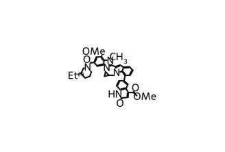 CC[C@@H]1CCCN(C(=O)c2cc(OC)c3c(c2)nc(-c2cc4cccc(-c5ccc6[nH]c(=O)cc(C(=O)OC)c6c5)c4n2CC2CC2)n3C)C1